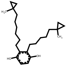 CC1(CCCCCCc2c(O)ccc(O)c2CCCCCC2(C)CC2)CC1